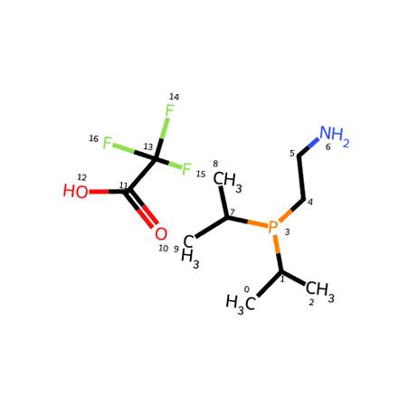 CC(C)P(CCN)C(C)C.O=C(O)C(F)(F)F